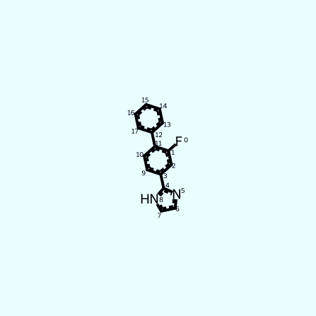 Fc1cc(-c2ncc[nH]2)ccc1-c1ccccc1